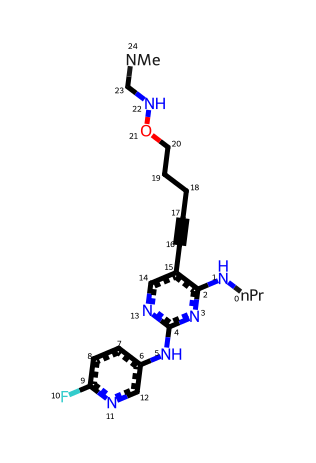 CCCNc1nc(Nc2ccc(F)nc2)ncc1C#CCCCONCNC